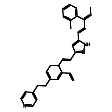 C=CC1=CC(CCc2ccncc2)=CCC1/C=C/c1cc(/C=C/C(=C/C)c2ccccc2C)[nH]n1